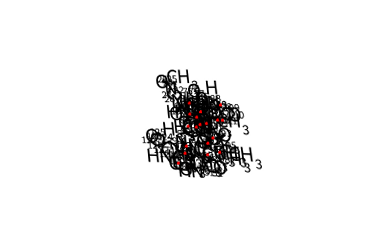 CCc1nn(C[C@H](C)CC(OC(=O)c2cccc(C(=O)N3CCN(C(C)=O)CC3)c2)(OC(=O)C(C)C)[C@](C)(C[C@@H](C)Cn2nc(CC)c3c2CC2(CCOCC2)CNC3=O)C(C[C@@H](C)C(n2nc(CC)c3c2CC2(CCOCC2)CNC3=O)C2(C(=O)O)CCCC2)(OC(=O)C(CC)CC)n2nc(CC)c3c2CC2(CCOCC2)CNC3=O)c2c1C(=O)NCC1(CCOCC1)C2